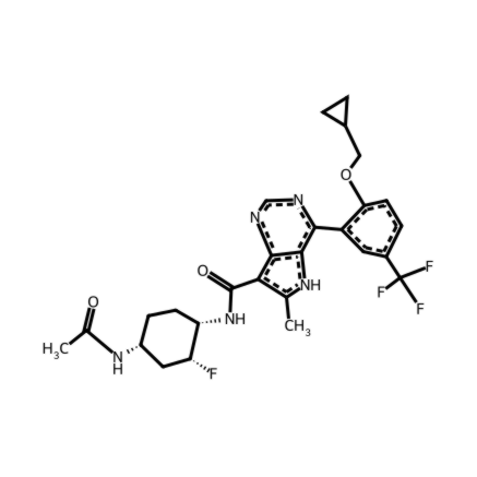 CC(=O)N[C@@H]1CC[C@H](NC(=O)c2c(C)[nH]c3c(-c4cc(C(F)(F)F)ccc4OCC4CC4)ncnc23)[C@H](F)C1